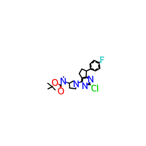 CN(C(=O)OC(C)(C)C)C1CCN(c2nc(Cl)nc3c2CCC3c2ccc(F)cc2)C1